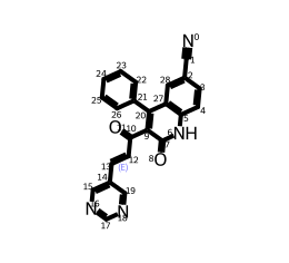 N#Cc1ccc2[nH]c(=O)c(C(=O)/C=C/c3cncnc3)c(-c3ccccc3)c2c1